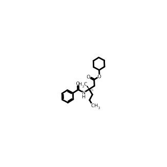 CCC[C@@](C)(CC(=O)OC1CCCCC1)NC(=O)c1ccccc1